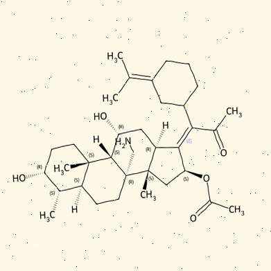 CC(=O)O[C@H]1C[C@@]2(C)[C@@H](C[C@@H](O)[C@H]3[C@@]4(C)CC[C@@H](O)[C@@H](C)[C@@H]4CC[C@@]32CN)/C1=C(/C(C)=O)C1CCCC(=C(C)C)C1